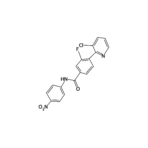 O=C(Nc1ccc([N+](=O)[O-])cc1)c1ccc(-c2ncccc2Cl)c(F)c1